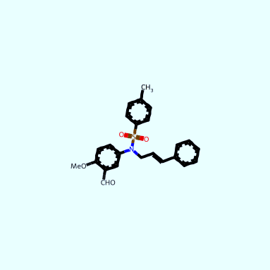 COc1ccc(N(C/C=C/c2ccccc2)S(=O)(=O)c2ccc(C)cc2)cc1C=O